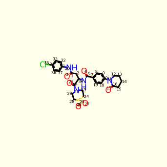 O=C(CC(NC(=O)c1ccc(N2CCCCC2=O)cc1)C(=O)N1CCS(=O)(=O)CC1)Nc1ccc(Cl)cc1